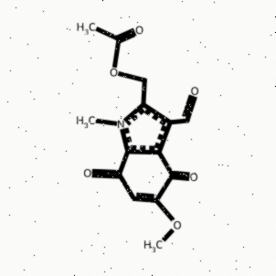 COC1=CC(=O)c2c(c(C=O)c(COC(C)=O)n2C)C1=O